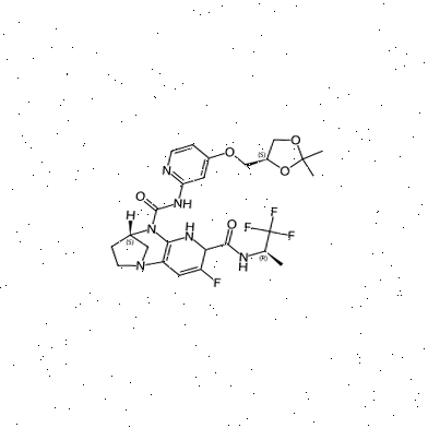 C[C@@H](NC(=O)C1NC2=C(C=C1F)N1CC[C@@H](C1)N2C(=O)Nc1cc(OC[C@H]2COC(C)(C)O2)ccn1)C(F)(F)F